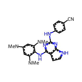 CNc1cc(NC)c(Nc2nc(Nc3ccc(C#N)cc3)nc3[nH]ccc23)c(NC)c1